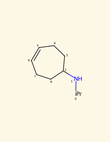 CC(C)NC1CCC=CCC1